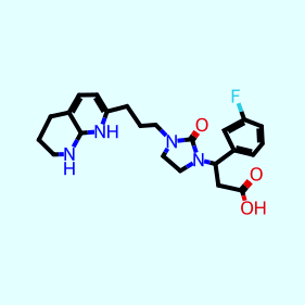 O=C(O)CC(c1cccc(F)c1)N1CCN(CCCC2=CC=C3CCCNC3N2)C1=O